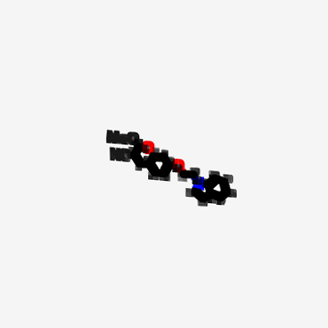 COC(=O)C(C#N)=Cc1ccc(OCCn2ccc3ccccc32)cc1